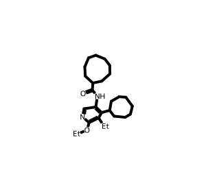 CCOc1ncc(NC(=O)C2CCCCCCCC2)c(C2CCCCCCC2)c1CC